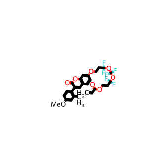 C=CC(=O)OCCC(F)(F)OC(F)(F)OC(F)(F)CCOc1ccc2cc(-c3ccc(OC)cc3C)c(=O)oc2c1